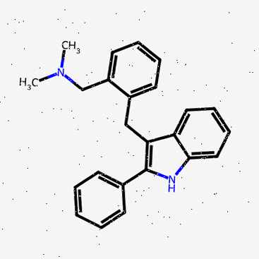 CN(C)Cc1ccccc1Cc1c(-c2ccccc2)[nH]c2ccccc12